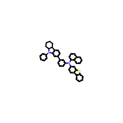 c1ccc(N2c3cc(-c4cccc(N(c5ccc6c(c5)sc5ccccc56)c5cccc6ccccc56)c4)ccc3C3CCCCC32)cc1